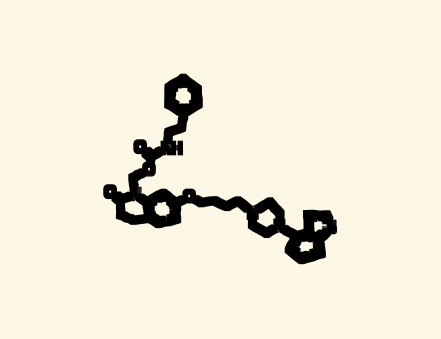 O=C(NCCc1ccccc1)OCN1C(=O)CCc2ccc(OCCCCN3CCN(c4cccc5sccc45)CC3)cc21